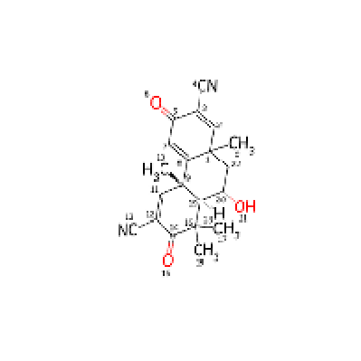 CC12C=C(C#N)C(=O)C=C1[C@@]1(C)C=C(C#N)C(=O)C(C)(C)[C@@H]1[C@@H](O)C2